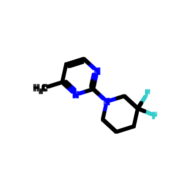 Cc1ccnc(N2CCCC(F)(F)C2)n1